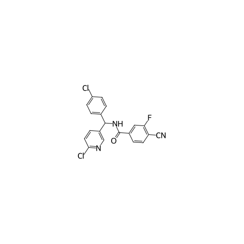 N#Cc1ccc(C(=O)NC(c2ccc(Cl)cc2)c2ccc(Cl)nc2)cc1F